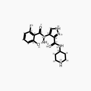 NN(C(=O)c1c(F)cccc1Cl)c1c[nH]nc1C(=O)NC1CCNCC1